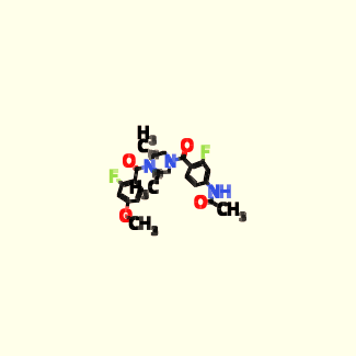 COc1ccc(C(=O)N2[C@H](C)CN(C(=O)c3ccc(NC(C)=O)cc3F)C[C@H]2C)c(F)c1